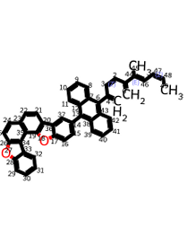 C=C(/C=C\C(=C)c1c2ccccc2c(-c2ccc3oc4c(ccc5ccc6oc7ccccc7c6c54)c3c2)c2ccccc12)/C(C)=C/C=C\C